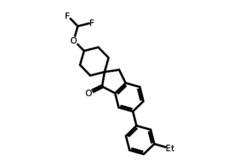 CCc1cccc(-c2ccc3c(c2)C(=O)C2(CCC(OC(F)F)CC2)C3)c1